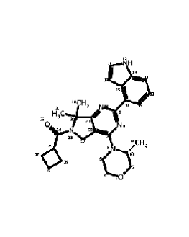 C[C@@H]1COCCN1c1nc(-c2cccc3[nH]ccc23)nc2c1CN(C(=O)C1CCC1)C2(C)C